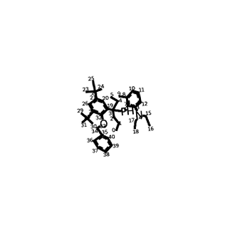 CCCC(CC)(Pc1c(C)cccc1N(CC)CC)c1cc(C(C)(C)C)cc(C(C)(C)C)c1OCc1ccccc1